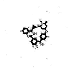 C=C1CC(Oc2ccc(C(=N)c3cc(C(=O)NC(c4ccccc4)C4CC4)ccc3N)cc2)CC(C)N1C